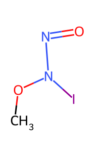 CON(I)N=O